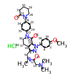 COc1ccc(-n2nc(CN(C)C(=O)CN(C)C)c3c2C(=O)N(c2ccc(N4CCCCC4=O)cc2)CC3)cc1.Cl